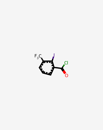 O=C(Cl)c1cccc(C(F)(F)F)c1I